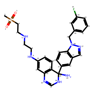 CS(=O)(=O)CCNCCNc1ccc2c(c1)N=CNC2(N)c1ccc2c(cnn2Cc2cccc(F)c2)c1